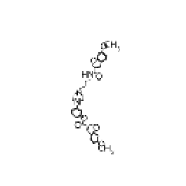 COc1ccc2c(c1)OCC(C(=O)NCCCCN1CCN(c3cccc(OC(=O)C4=Cc5ccc(OC)cc5OC4)c3)CC1)=C2